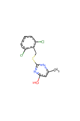 Cc1cc(O)nc(SCc2c(Cl)cccc2Cl)n1